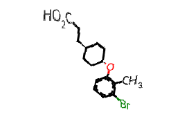 Cc1c(Br)cccc1O[C@H]1CC[C@H](CCC(=O)O)CC1